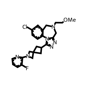 COCCN1Cc2cc(Cl)ccc2-n2c(nnc2C2CC3(C2)CN(c2ncccc2F)C3)C1